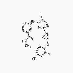 CNC(=O)c1cccc(Nc2nc(N3CC(Oc4ccc(Cl)cc4F)C3)ncc2F)c1